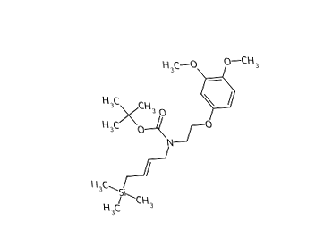 COc1ccc(OCCN(CC=CC[Si](C)(C)C)C(=O)OC(C)(C)C)cc1OC